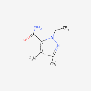 Cc1nn(CC(F)(F)F)c(C(N)=O)c1[N+](=O)[O-]